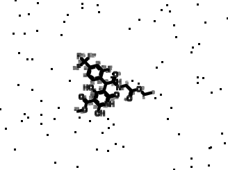 CCOC(=O)CNC(=O)C(c1ccc(C(F)(F)F)cc1F)c1c(O)c(C(=O)OC)c(O)[nH]c1=O